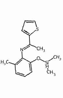 CC(=Nc1c(C)cccc1O[SiH](C)C)c1cccs1